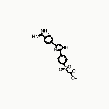 COC(=O)CS(=O)(=O)c1ccc(-c2nc(-c3ccc(C(=N)N)cc3)c[nH]2)cc1